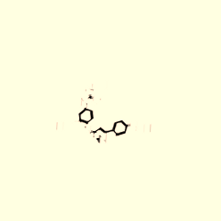 COC(=O)Nc1ccc(Nc2cc(-c3ccc(OC)cc3)[nH]n2)c(C)c1